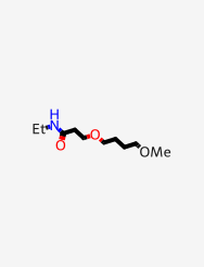 CCNC(=O)CCOCCCCOC